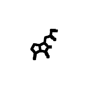 COC(=O)CC1NC(=O)N2C(=O)CCC12